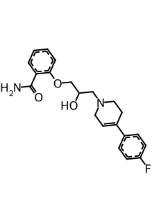 NC(=O)c1ccccc1OCC(O)CN1CC=C(c2ccc(F)cc2)CC1